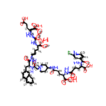 C[N+]1(CC(=O)NC(Cc2ccc3ccccc3c2)C(=O)NCCCCC(NC(=O)NC(CCC(=O)O)C(=O)O)C(=O)O)CCC(NC(=O)CCC(NC(=O)CCC(NC(=O)c2ccnc(F)c2)C(=O)O)C(=O)O)CC1